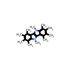 Cc1c(C)c(C)c2c(c1C)c1c(c3c(C)c(C)c(C)c(C)c3n1C)n2C